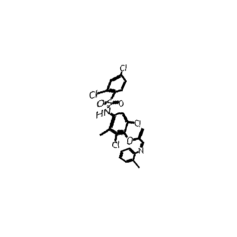 C=C(/C=N\c1ccccc1C)Oc1c(Cl)cc(NS(=O)(=O)c2ccc(Cl)cc2Cl)c(C)c1Cl